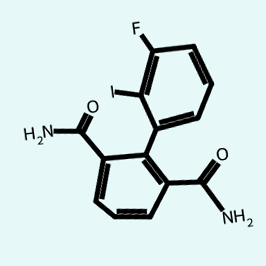 NC(=O)c1cccc(C(N)=O)c1-c1cccc(F)c1I